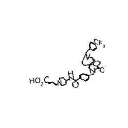 O=C(O)CCCN1CCC(NC(=O)c2ccc(CN3CC4(CCN(Cc5ccc(C(F)(F)F)cc5)CC4)OC3=O)cc2)CC1